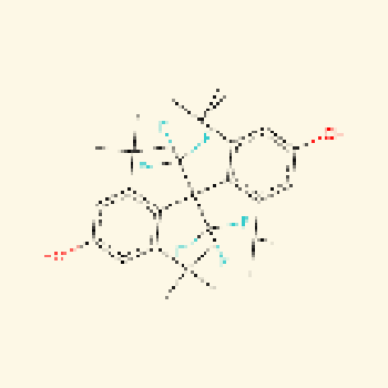 CC(C)(C)c1cc(O)cc(C(C)(C)C)c1C(c1c(C(C)(C)C)cc(O)cc1C(C)(C)C)(C(F)(F)F)C(F)(F)F